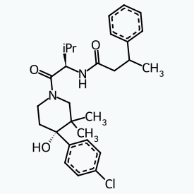 CC(CC(=O)N[C@@H](C(=O)N1CC[C@](O)(c2ccc(Cl)cc2)C(C)(C)C1)C(C)C)c1ccccc1